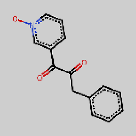 O=C(Cc1ccccc1)C(=O)c1ccc[n+]([O-])c1